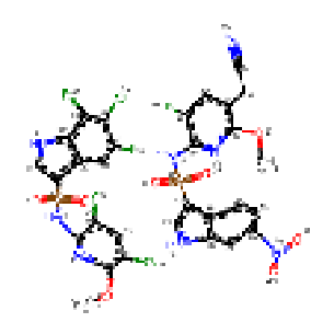 COc1nc(NS(=O)(=O)c2c[nH]c3c(F)c(Cl)c(F)cc23)c(F)cc1Cl.COc1nc(NS(=O)(=O)c2c[nH]c3cc([N+](=O)[O-])ccc23)c(F)cc1CC#N